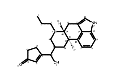 CCCN1CC(C(O)C2=CC(=O)CC2)C[C@@H]2c3cccc4[nH]cc(c34)C[C@H]21